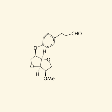 CO[C@@H]1CO[C@H]2[C@@H]1OC[C@H]2Oc1ccc(CCC=O)cc1